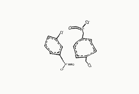 O=[N+]([O-])c1ccc(Cl)cc1.O=[N+]([O-])c1cccc(Cl)c1